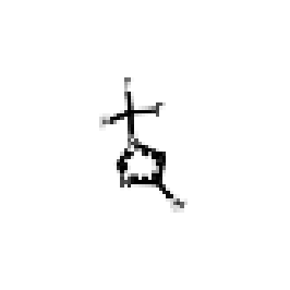 FC(F)(F)n1cnc(Br)c1